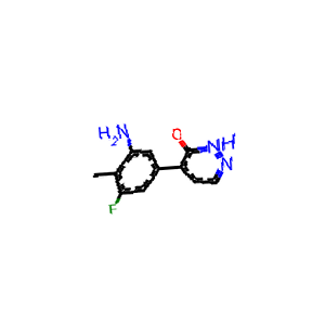 Cc1c(N)cc(-c2ccn[nH]c2=O)cc1F